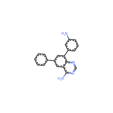 Nc1cccc(-c2cc(-c3ccccc3)cc3c(N)ncnc23)c1